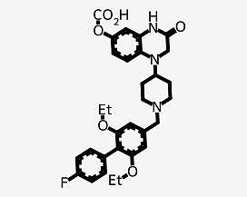 CCOc1cc(CN2CCC(N3CC(=O)Nc4cc(OC(=O)O)ccc43)CC2)cc(OCC)c1-c1ccc(F)cc1